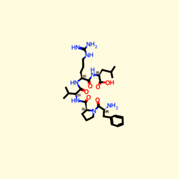 CC(C)C[C@H](NC(=O)[C@H](CCCNC(=N)N)NC(=O)[C@@H](NC(=O)[C@@H]1CCCN1C(=O)[C@H](N)Cc1ccccc1)C(C)C)C(=O)O